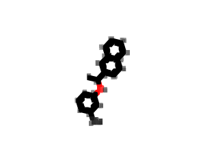 CCC(C)c1cccc(OC(C)c2ccc3ccccc3c2)c1